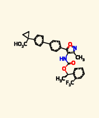 Cc1noc(-c2ccc(-c3ccc(C4(C(=O)O)CC4)cc3)cc2)c1NC(=O)O[C@H](C)c1ccccc1C(F)(F)F